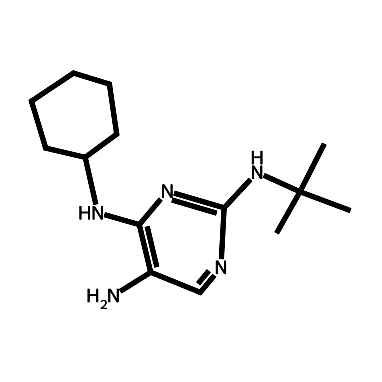 CC(C)(C)Nc1ncc(N)c(NC2CCCCC2)n1